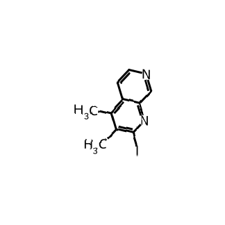 Cc1c(I)nc2cnccc2c1C